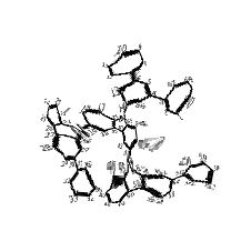 c1ccc(-c2cc(-c3ccccc3)cc(-n3c4ccc(-n5c6ccccc6c6ccc(-c7ccccc7)cc65)cc4c4cc(-n5c6ccccc6c6ccc(-c7ccccc7)cc65)ccc43)c2)cc1